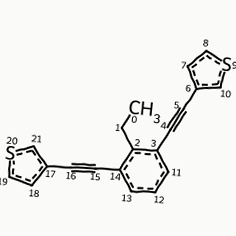 CCc1c(C#Cc2ccsc2)cccc1C#Cc1ccsc1